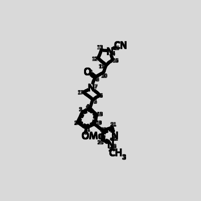 COc1ccc(C2CN(C(=O)CC3CCN(C#N)C3)C2)cc1-c1cnn(C)c1